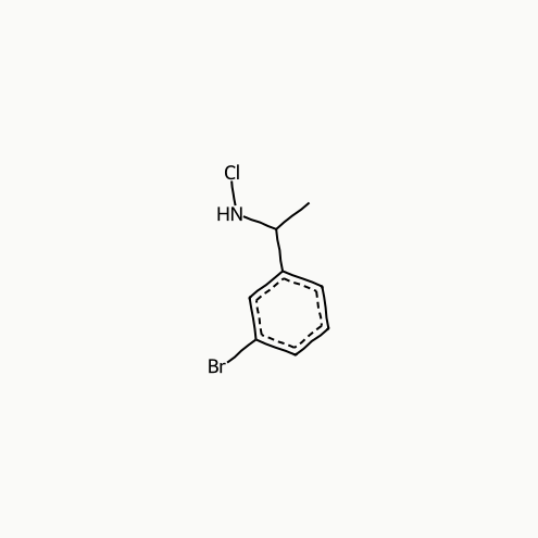 CC(NCl)c1cccc(Br)c1